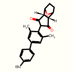 Cc1cc(-c2ccc(C(C)(C)C)cc2)cc(C)c1C1C(=O)[C@@H]2C3CCC(O3)[C@@H]2C1=O